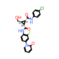 O=C(Nc1ccc(-n2ccccc2=O)cc1F)[C@@H]1[C@@H](CO)[C@@H]1C(=O)Nc1ccc(Cl)cc1